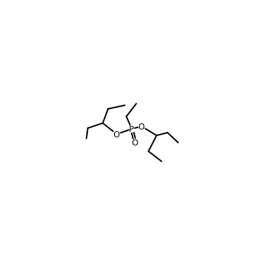 CCC(CC)OP(=O)(CC)OC(CC)CC